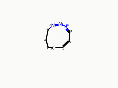 C1=CCCCCN=NN=C1